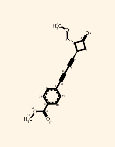 COC[C@@H]1C(=O)C[C@H]1C#CC#Cc1ccc(C(=O)OC)cc1